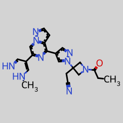 CCC(=O)N1CC(CC#N)(n2cc(-c3nc(/C(C=N)=C/NC)cn4nccc34)cn2)C1